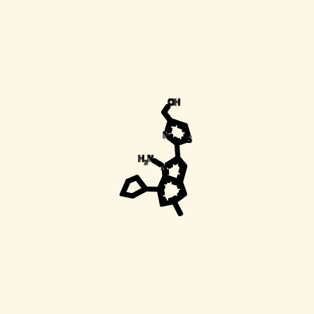 Cc1cc(C2CCCC2)c2c(c1)cc(-c1nc(CO)cs1)n2N